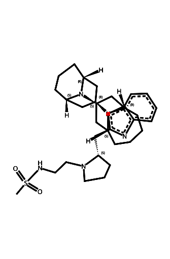 CS(=O)(=O)NCCN1CCC[C@H]1Cc1nc2ccccc2n1[C@@H]1C[C@H]2CCC[C@@H](C1)N2[C@H]1C[C@@H]2CCCC[C@@H](C2)C1